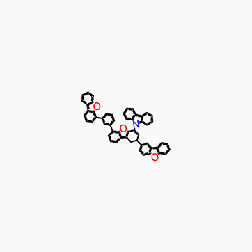 C1=C(n2c3ccccc3c3ccccc32)c2oc3c(-c4cccc(-c5cccc6c5oc5ccccc56)c4)cccc3c2CC1c1ccc2oc3ccccc3c2c1